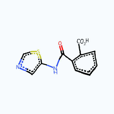 O=C(O)c1ccccc1C(=O)Nc1cncs1